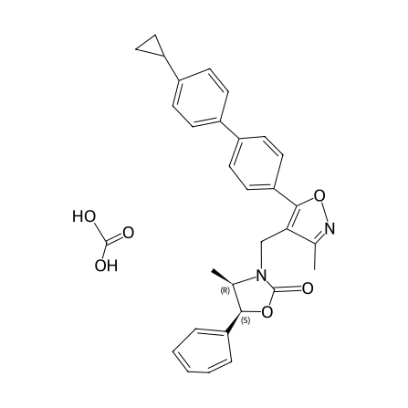 Cc1noc(-c2ccc(-c3ccc(C4CC4)cc3)cc2)c1CN1C(=O)O[C@@H](c2ccccc2)[C@H]1C.O=C(O)O